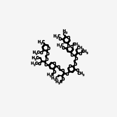 CCC(OC)C(OCOC1OCC(OC(OCOC2OCC(OC(OCOC3OCC(C)CC3OC)[C@H](CC)OC)CC2OC)[C@H](CC)OC)CC1OC)OC(COC)CC(OC)OC1COC(C)C(OC)C1